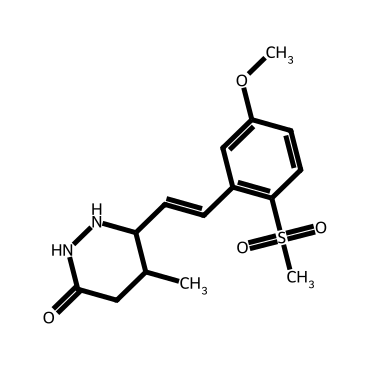 COc1ccc(S(C)(=O)=O)c(/C=C/C2NNC(=O)CC2C)c1